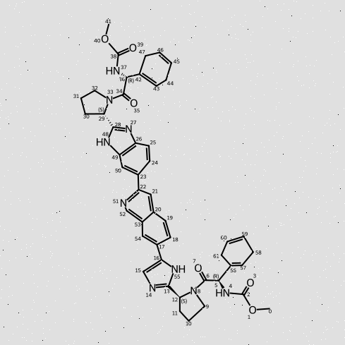 COC(=O)N[C@@H](C(=O)N1CCC[C@H]1c1ncc(-c2ccc3cc(-c4ccc5nc([C@@H]6CCCN6C(=O)[C@H](NC(=O)OC)C6=CCC=CC6)[nH]c5c4)ncc3c2)[nH]1)C1=CCC=CC1